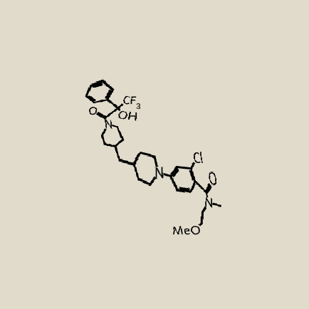 COCCN(C)C(=O)c1ccc(N2CCC(CC3CCN(C(=O)C(O)(c4ccccc4)C(F)(F)F)CC3)CC2)cc1Cl